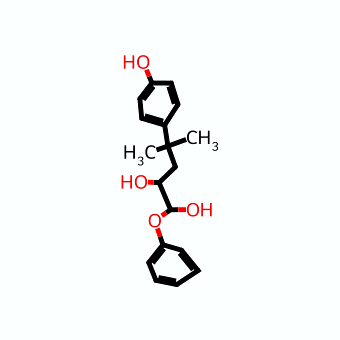 CC(C)(CC(O)C(O)Oc1ccccc1)c1ccc(O)cc1